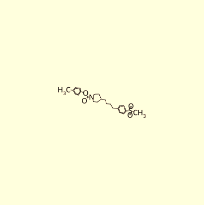 Cc1ccc(OC(=O)N2CCC(CCCCc3ccc(S(C)(=O)=O)cc3)CC2)cc1